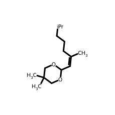 C/C(=C/C1OCC(C)(C)CO1)CCCC(C)C